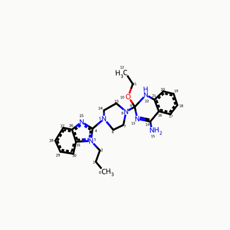 CCCn1c(N2CCN(C3(OCC)N=C(N)c4ccccc4N3)CC2)nc2ccccc21